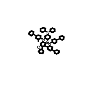 Cc1cc(-c2ccccc2)ccc1N1c2cc(N(c3ccccc3)c3ccccc3)ccc2B2c3c1cc1oc4ccccc4c1c3-c1ccc(-c3ccccc3)cc1N2c1ccc(-c2ccccc2)cc1